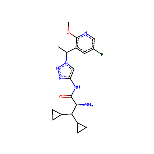 COc1ncc(F)cc1C(C)n1cc(NC(=O)[C@@H](N)C(C2CC2)C2CC2)nn1